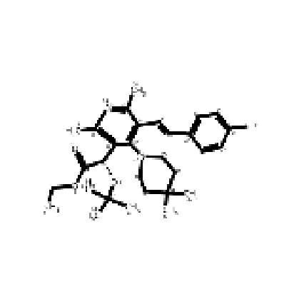 CCOC(=O)[C@@H](OC(C)(C)C)c1c(C)nc(C)c(/C=C/c2ccc(F)cc2)c1N1CCC(C)(C)CC1